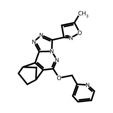 Cc1cc(-c2nnc3c4c(c(OCc5ccccn5)nn23)C2CCC4C2)no1